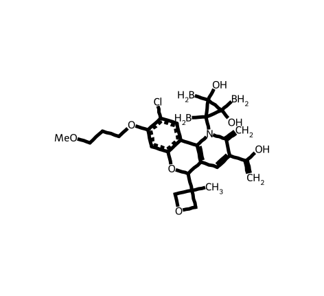 BC1(O)C(B)(O)C1(B)N1C(=C)C(C(=C)O)=CC2=C1c1cc(Cl)c(OCCCOC)cc1OC2C1(C)COC1